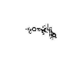 COc1cc(CNC(=O)c2nc3scc(COC[C@H]4CC[C@H](C(=O)O)CC4)c3c(=O)[nH]2)ccc1F